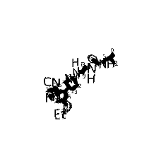 C=C(C)CNC(=O)NCCNc1ccc(-c2cc(OCC)cn3ncc(C#N)c23)cn1